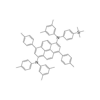 Cc1ccc(-c2cc(N(c3ccc(C)cc3)c3cc(C)cc(C)c3)c3ccc4c(-c5ccc(C)cc5)cc(N(c5ccc([Si](C)(C)C)cc5)c5cc(C)cc(C)c5)c5ccc2c3c45)cc1